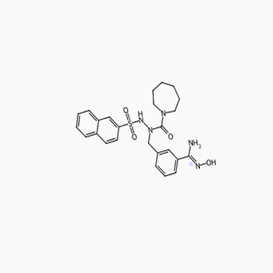 N/C(=N\O)c1cccc(CN(NS(=O)(=O)c2ccc3ccccc3c2)C(=O)N2CCCCCC2)c1